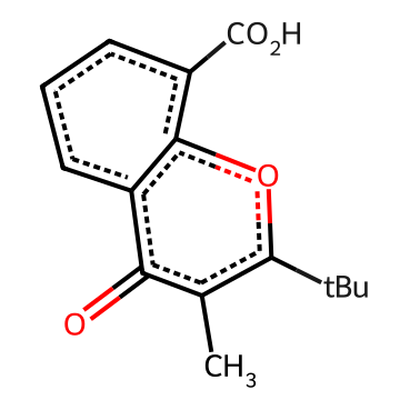 Cc1c(C(C)(C)C)oc2c(C(=O)O)cccc2c1=O